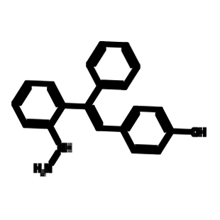 NNc1ccccc1C(=Cc1ccc(O)cc1)c1ccccc1